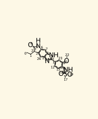 CCC1C(=O)Nc2cc3[nH]c(-c4ccc(NS(C)(=O)=O)c(OC)c4)nc3cc21